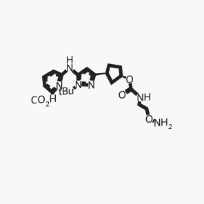 CC(C)(C)n1nc([C@H]2CC[C@@H](OC(=O)NCCON)C2)cc1Nc1cccc(C(=O)O)n1